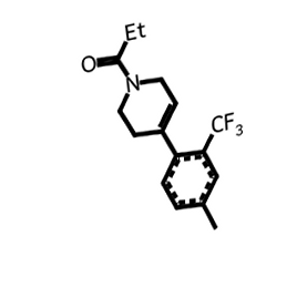 CCC(=O)N1CC=C(c2ccc(C)cc2C(F)(F)F)CC1